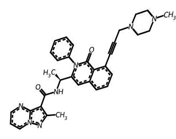 Cc1nn2cccnc2c1C(=O)N[C@@H](C)c1cc2cccc(C#CCN3CCN(C)CC3)c2c(=O)n1-c1ccccc1